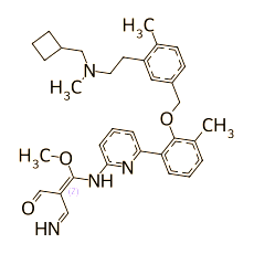 CO/C(Nc1cccc(-c2cccc(C)c2OCc2ccc(C)c(CCN(C)CC3CCC3)c2)n1)=C(/C=N)C=O